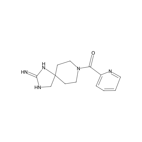 N=C1NCC2(CCN(C(=O)c3ccccn3)CC2)N1